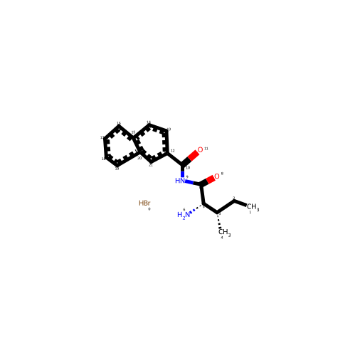 Br.CC[C@H](C)[C@H](N)C(=O)NC(=O)c1ccc2ccccc2c1